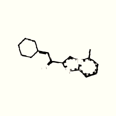 Cc1cccc2nc(C(=O)C=C3CCCCC3)cn12